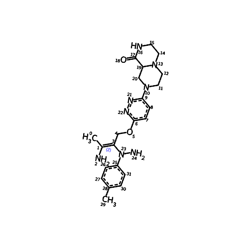 C/C(N)=C(\COc1ccc(N2CCN3CCNC(=O)C3C2)nn1)N(N)c1ccc(C)cc1